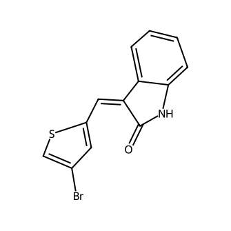 O=C1Nc2ccccc2/C1=C/c1cc(Br)cs1